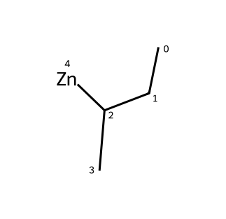 CC[CH](C)[Zn]